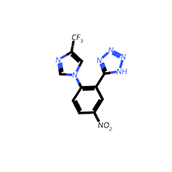 O=[N+]([O-])c1ccc(-n2cnc(C(F)(F)F)c2)c(-c2nnn[nH]2)c1